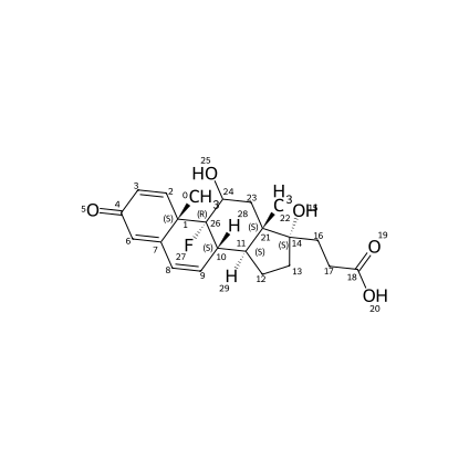 C[C@]12C=CC(=O)C=C1C=C[C@H]1[C@@H]3CC[C@](O)(CCC(=O)O)[C@@]3(C)CC(O)[C@@]12F